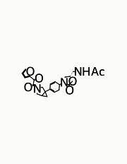 CC(=O)NC[C@H]1CN(C2C=CC(C34CC3CN(C(=O)C(=O)c3ccco3)C4)=CC2)C(=O)O1